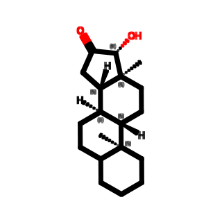 C[C@]12CC[C@H]3[C@@H](CCC4CCCC[C@@]43C)[C@@H]1CC(=O)[C@@H]2O